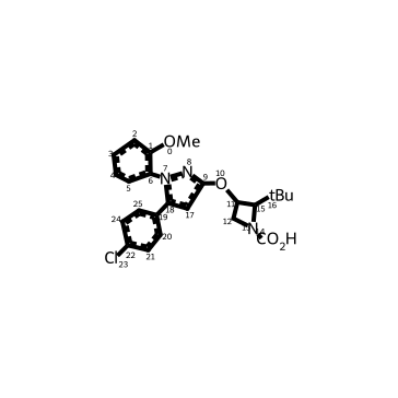 COc1ccccc1-n1nc(OC2CN(C(=O)O)C2C(C)(C)C)cc1-c1ccc(Cl)cc1